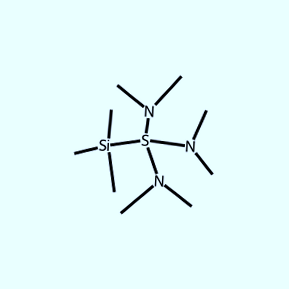 CN(C)S(N(C)C)(N(C)C)[Si](C)(C)C